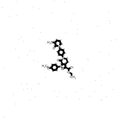 CCOC(=O)c1nn(-c2ccc(OC)cc2)c2c1CCN(c1ccc(-n3cccc(C)c3=O)cc1)C2=O